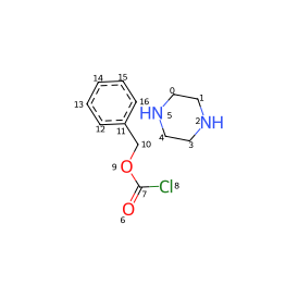 C1CNCCN1.O=C(Cl)OCc1ccccc1